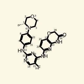 C[C@@H]1COCCN1c1ccc(Nc2ncc(F)c(Nc3ccc4c(n3)NC(=O)CO4)n2)cc1